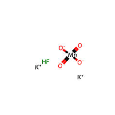 F.[K+].[K+].[O]=[Mn](=[O])([O-])[O-]